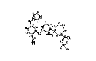 CCC1(c2cccc(Oc3cc(Cn4ccnc4)ccc3C#N)c2)CCCCN(C(=O)OC(C)(C)C)C1